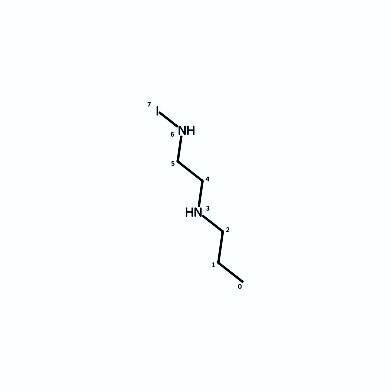 CCCNCCNI